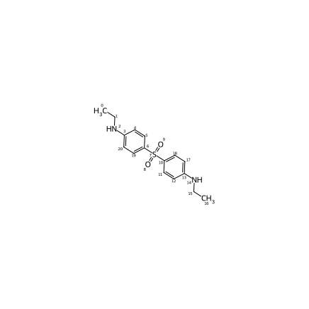 CCNc1ccc(S(=O)(=O)c2ccc(NCC)cc2)cc1